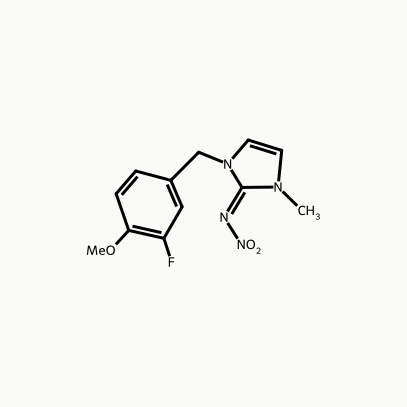 COc1ccc(Cn2ccn(C)c2=N[N+](=O)[O-])cc1F